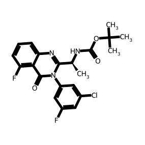 C[C@H](NC(=O)OC(C)(C)C)c1nc2cccc(F)c2c(=O)n1-c1cc(F)cc(Cl)c1